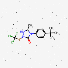 CC1NN(SC(Cl)(Cl)Cl)C(=O)N1c1ccc(C(C)(C)C)cc1